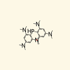 CN(C)c1cc(N(C)C)c(Pc2c(N(C)C)cc(N(C)C)cc2N(C)C)c(N(C)C)c1